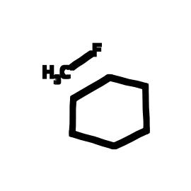 C1CCCCC1.CF